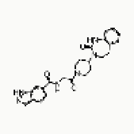 O=C(NCC(=O)N1CCC(N2CCc3ccccc3NC2=O)CC1)c1ccc2cn[nH]c2c1